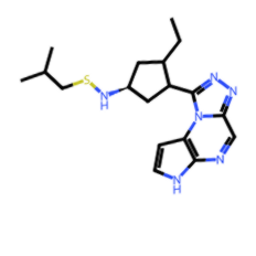 CCC1C[C@H](NSCC(C)C)CC1c1nnc2cnc3[nH]ccc3n12